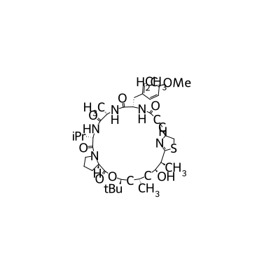 C=C(/C=C\C(=C/C)C[C@@H]1NC(=O)CC[C@@H]2CSC(=N2)[C@@H](C)[C@@H](O)C[C@H](C)C[C@@H](C(C)(C)C)OC(=O)[C@@H]2CCCN2C(=O)[C@H](C(C)C)NC(=O)[C@H](C)NC1=O)OC